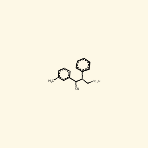 Cc1cccc(C(C#N)C(CC(=O)O)c2ccccc2)c1